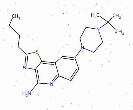 CCCCc1nc2c(N)nc3ccc(N4CCN(C(C)(C)C)CC4)cc3c2s1